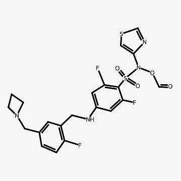 O=CON(c1cscn1)S(=O)(=O)c1c(F)cc(NCc2cc(CN3CCC3)ccc2F)cc1F